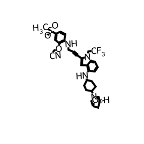 CS(=O)(=O)c1ccc(NCC#Cc2cc3c(NC4CCC(N5CC6C[C@H](C5)O6)CC4)cccc3n2CC(F)(F)F)c(OCC#N)c1